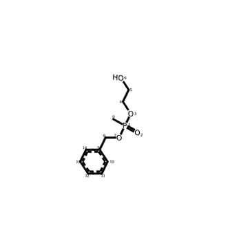 CP(=O)(OCCO)OCc1ccccc1